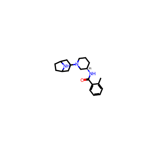 Cc1ccccc1C(=O)N[C@@H]1CCCN(C2CC3CCC(C2)N3)C1